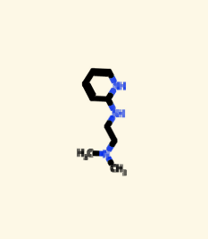 CN(C)CCN[C]1C=CC=CN1